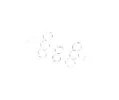 CC1(C)OB(c2c3ccccc3c(-c3ccc(-c4c5ccccc5c(B5OC(C)(C)C(C)(C)O5)c5ccccc45)c4ccccc34)c3ccccc23)OC1(C)C